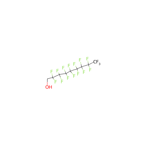 OCC(F)(F)C(F)(F)C(F)(F)C(F)(F)C(F)(F)C(F)(F)C(F)(F)C(F)(F)F